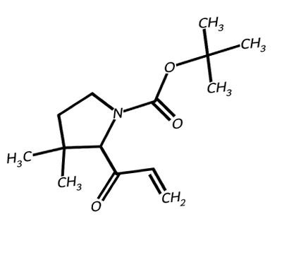 C=CC(=O)C1N(C(=O)OC(C)(C)C)CCC1(C)C